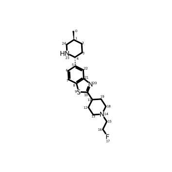 C[C@H]1CC[C@H](c2ccc3sc(C4CCN(CCF)CC4)nc3c2)NC1